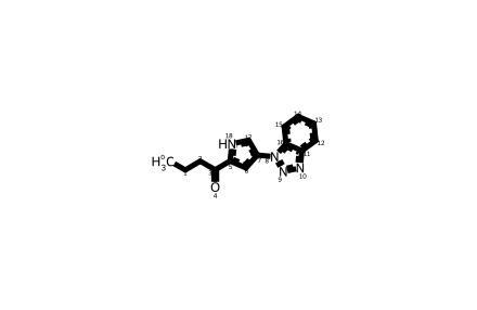 CCCC(=O)c1cc(-n2nnc3ccccc32)c[nH]1